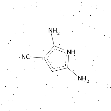 N#Cc1cc(N)[nH]c1N